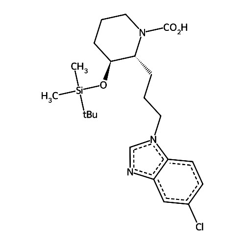 CC(C)(C)[Si](C)(C)O[C@H]1CCCN(C(=O)O)[C@@H]1CCCn1cnc2cc(Cl)ccc21